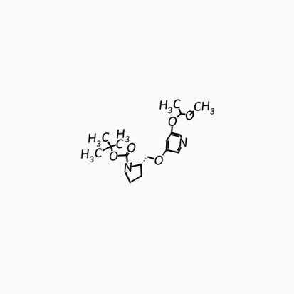 COC(C)Oc1cncc(OC[C@@H]2CCCN2C(=O)OC(C)(C)C)c1